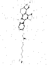 CCn1c2ccc(OCC(=O)NCCCCCN(C)C)cc2c2c3c(c4c(c21)CCc1nn(C)cc1-4)C(=O)NC3